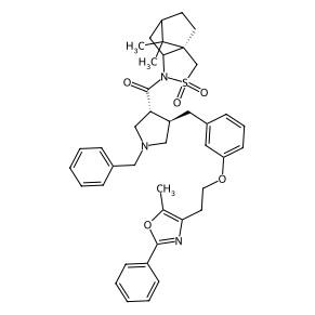 Cc1oc(-c2ccccc2)nc1CCOc1cccc(C[C@H]2CN(Cc3ccccc3)C[C@@H]2C(=O)N2C3CC4CC[C@@]3(CS2(=O)=O)C4(C)C)c1